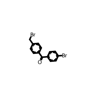 O=C(c1ccc(Br)cc1)c1ccc(CBr)cc1